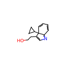 OCCC1=CN=C2C=CC=CC12C1CC1